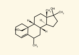 CC1C[C@@H]2[C@@H](CC[C@@]3(C)[C@H]2CCC3(C)O)[C@@]2(CO)CCCC=C12